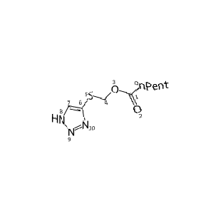 CCCCCC(=O)OCSc1c[nH]nn1